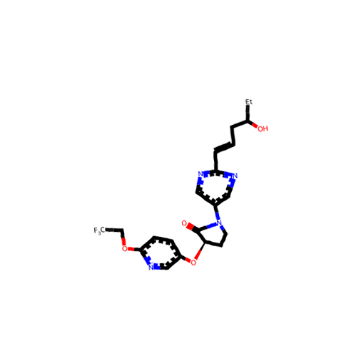 CCC(O)C/C=C/c1ncc(N2CC[C@@H](Oc3ccc(OCC(F)(F)F)nc3)C2=O)cn1